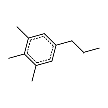 C[CH]Cc1cc(C)c(C)c(C)c1